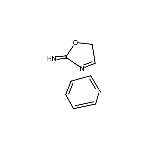 N=C1N=CCO1.c1ccncc1